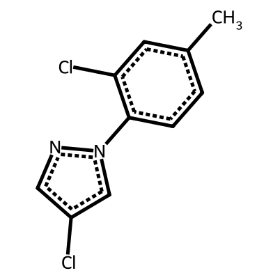 Cc1ccc(-n2cc(Cl)cn2)c(Cl)c1